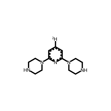 [2H]c1cc(N2CCNCC2)nc(N2CCNCC2)c1